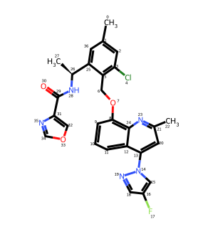 Cc1cc(Cl)c(COc2cccc3c(-n4cc(F)cn4)cc(C)nc23)c([C@H](C)NC(=O)c2cocn2)c1